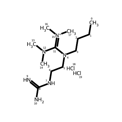 CCCCN(CCNC(=N)N)C(N(C)C)=[N+](C)C.Cl.Cl